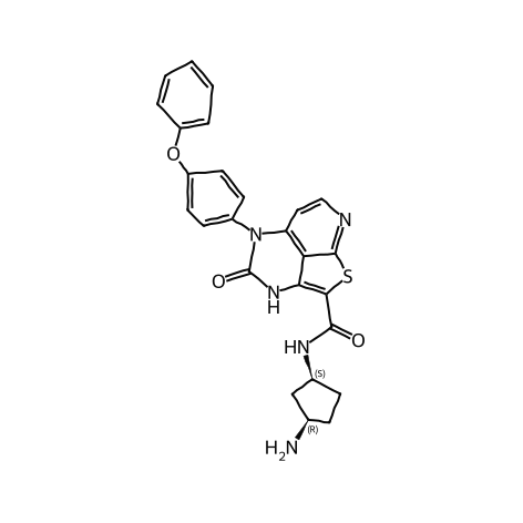 N[C@@H]1CC[C@H](NC(=O)c2sc3nccc4c3c2NC(=O)N4c2ccc(Oc3ccccc3)cc2)C1